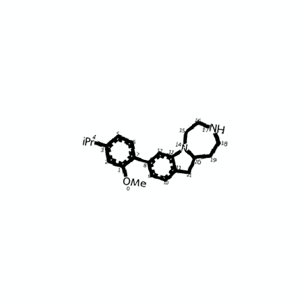 COc1cc(C(C)C)ccc1-c1ccc2c(c1)N1CCNCCC1C2